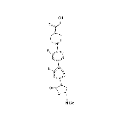 CC(=O)NC[C@H]1CN(c2ccc(-c3ccc(N4CCN(C(=O)CO)CC4)c(F)c3)c(F)c2)C(=O)O1